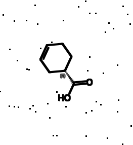 O=C(O)[C@@H]1CC=CCC1